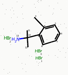 Br.Br.Br.Cc1ccccc1C(C)(C)N